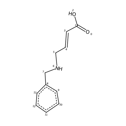 O=C(O)C=CCNCc1ccccc1